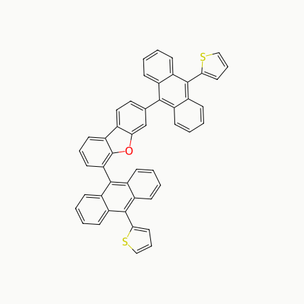 c1csc(-c2c3ccccc3c(-c3ccc4c(c3)oc3c(-c5c6ccccc6c(-c6cccs6)c6ccccc56)cccc34)c3ccccc23)c1